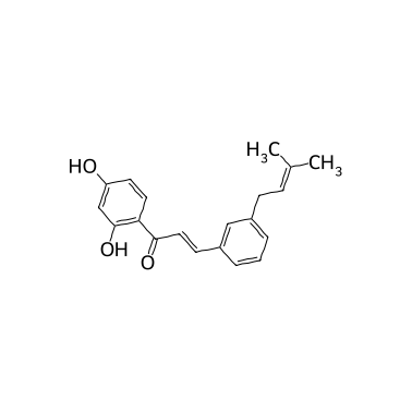 CC(C)=CCc1cccc(C=CC(=O)c2ccc(O)cc2O)c1